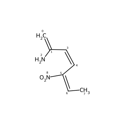 C=C(N)/C=C\C(=C/C)[N+](=O)[O-]